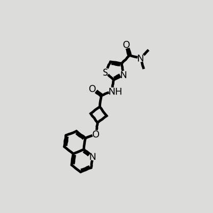 CN(C)C(=O)c1csc(NC(=O)C2CC(Oc3cccc4cccnc34)C2)n1